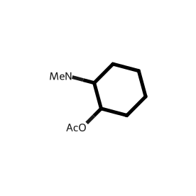 CNC1CCCCC1OC(C)=O